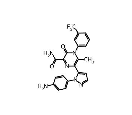 Cc1c(-c2ccnn2-c2ccc(N)cc2)nc(C(N)=O)c(=O)n1-c1cccc(C(F)(F)F)c1